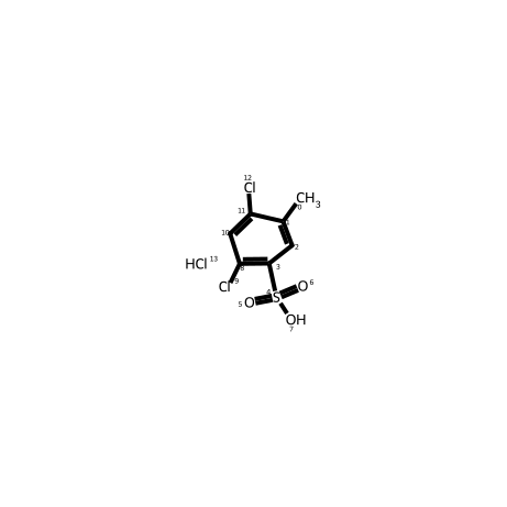 Cc1cc(S(=O)(=O)O)c(Cl)cc1Cl.Cl